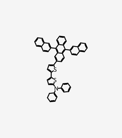 C1=CCCC(N(c2ccccc2)c2ccc(-c3ccc(-c4ccc5c(-c6ccc7ccccc7c6)c6ccccc6c(-c6ccc7ccccc7c6)c5c4)s3)s2)=C1